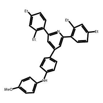 CCc1ccc(-c2cc(-c3ccc(Nc4ccc(OC)cc4)cc3)cc(-c3ccc(CC)cc3CC)n2)c(CC)c1